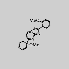 COc1ccccc1-c1cn2ccc(C3(OC)[CH]C=CC=C3)nc2n1